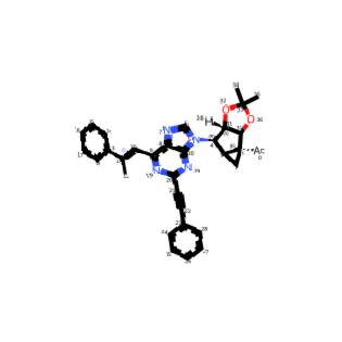 CC(=O)[C@]12CC1[C@@H](n1cnc3c(/C=C(\C)c4ccccc4)nc(C#Cc4ccccc4)nc31)[C@@H]1OC(C)(C)OC12